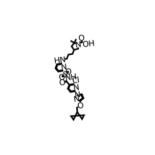 CC1(C)CC(CCCNc2cccc(S(=O)(=O)NC(=O)c3ccc(-n4ccc(OCC5C6(CC6)C56CC6)n4)nc3Cl)n2)CN1C(=O)O